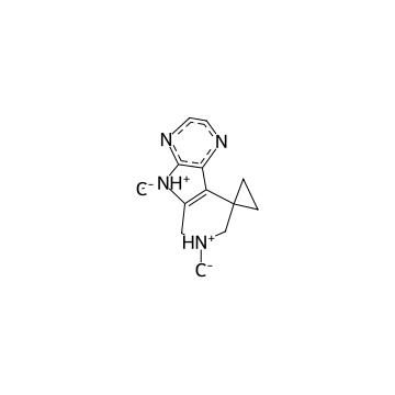 [CH2-][NH+]1CC2=C(c3nccnc3[NH+]2[CH2-])C2(CC2)C1